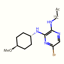 CO[C@H]1CC[C@H](Nc2nc(Br)cnc2N[13CH2][13C](C)=O)CC1